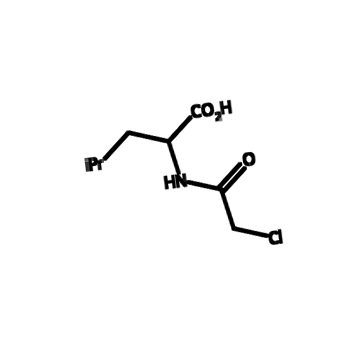 CC(C)CC(NC(=O)CCl)C(=O)O